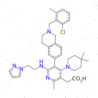 Cc1cccc(Cl)c1CN1CCc2cc(-c3c(NCCn4cccn4)nc(C)c(CC(=O)O)c3N3CCC(C)(C)CC3)ccc2C1